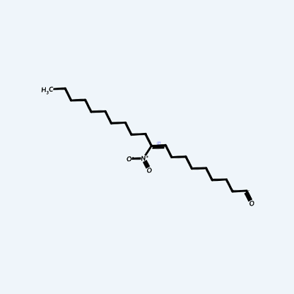 CCCCCCCCCC/C(=C/CCCCCCC[C]=O)[N+](=O)[O-]